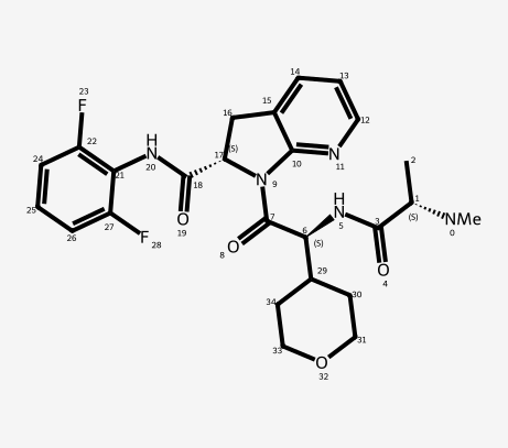 CN[C@@H](C)C(=O)N[C@H](C(=O)N1c2ncccc2C[C@H]1C(=O)Nc1c(F)cccc1F)C1CCOCC1